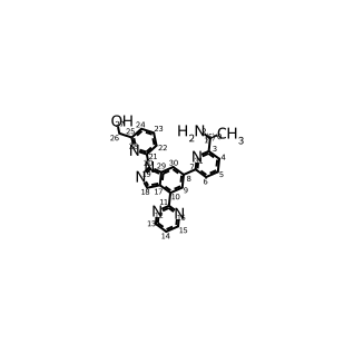 C[C@H](N)c1cccc(-c2cc(-c3ncccn3)c3cnn(-c4cccc(CO)n4)c3c2)n1